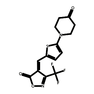 O=C1CCN(c2ccc(/C=C3/C(=O)ON=C3C(F)(F)F)s2)CC1